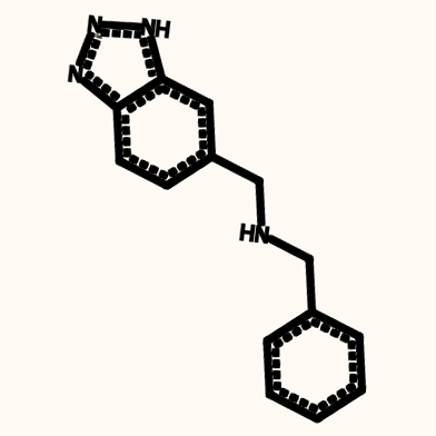 c1ccc(CNCc2ccc3nn[nH]c3c2)cc1